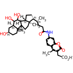 Cc1c(CC(=O)O)c(=O)oc2cc(NC(=O)CC[C@@H](C)[C@H]3CC[C@H]4[C@@H]5C(O)C(O)[C@@H]6C[C@H](O)CC[C@]6(C)[C@H]5CC[C@]34C)ccc12